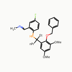 CCCC(CC)(Pc1ccc(F)cc1/C=N/C)c1cc(OC)cc(OC)c1OCc1ccccc1